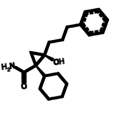 NC(=O)[C@]1(C2CCCCC2)C[C@]1(O)CCCc1ccccc1